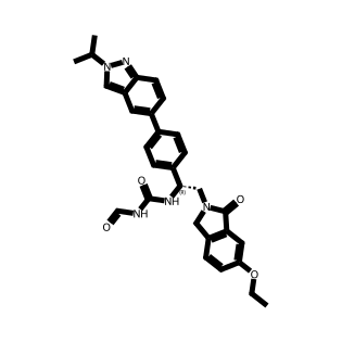 CCOc1ccc2c(c1)C(=O)N(C[C@H](NC(=O)NC=O)c1ccc(-c3ccc4nn(C(C)C)cc4c3)cc1)C2